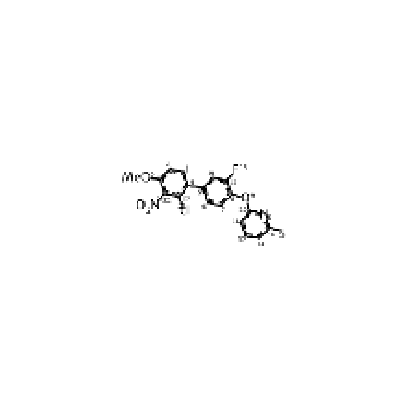 COc1c[c]c(-c2ccc(Oc3cccc(C)n3)c(F)c2)c(Cl)c1[N+](=O)[O-]